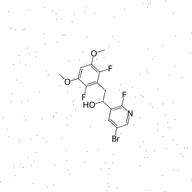 COc1cc(OC)c(F)c(CC(O)c2cc(Br)cnc2F)c1F